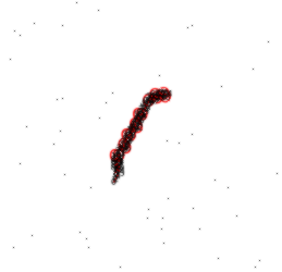 CCCCCC1CCC(c2ccc(-c3ccc(C(=O)OCCCCCC(=O)OCCCCCC(=O)OCCCCCC(=O)OCCCCCC(=O)OCCCCCCCCOc4ccc(C(=O)Oc5ccc(OC(C)=O)cc5)cc4)cc3)cc2)CC1